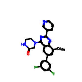 COc1cc(-c2cc(F)cc(F)c2)cc2c(N3CCNC(=O)C3)nc(-c3cccnc3)nc12